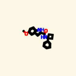 COc1ccc2[nH]c(C(=O)NC3(c4ccccc4)CCC3)cc2c1